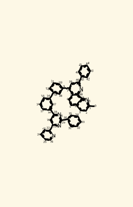 Cc1ccc2ccc3c(-c4cccc(-c5cccc(-c6cc(-c7ccccn7)nc(-c7ccccc7)n6)c5)c4)cc(-c4ccccc4)nc3c2n1